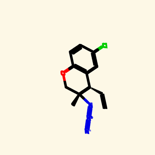 C=C[C@H]1c2cc(Cl)ccc2OC[C@@]1(C)N=[N+]=[N-]